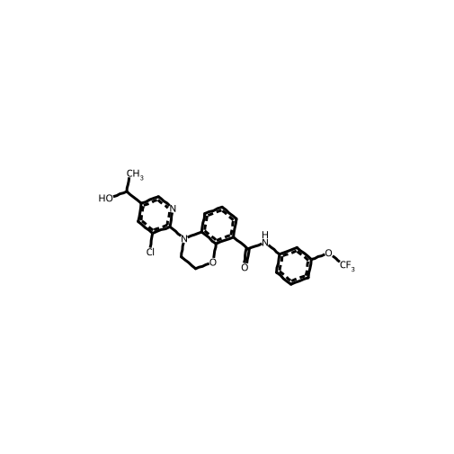 CC(O)c1cnc(N2CCOc3c(C(=O)Nc4cccc(OC(F)(F)F)c4)cccc32)c(Cl)c1